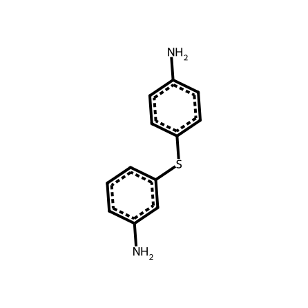 Nc1ccc(Sc2cccc(N)c2)cc1